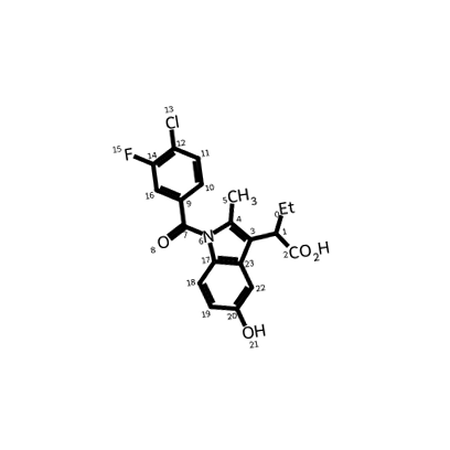 CCC(C(=O)O)c1c(C)n(C(=O)c2ccc(Cl)c(F)c2)c2ccc(O)cc12